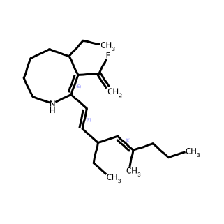 C=C(F)/C1=C(\C=C\C(/C=C(\C)CCC)CC)NCCCCC1CC